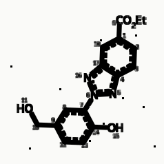 CCOC(=O)c1ccc2nn(-c3cc(CO)ccc3O)nc2c1